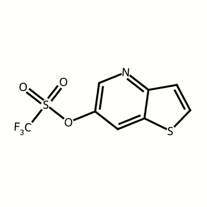 O=S(=O)(Oc1cnc2ccsc2c1)C(F)(F)F